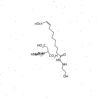 CCCCCCCC/C=C\CCCCCCCC(=O)NNCCO.O=C(O)CC(C(=O)O)S(=O)(=O)O.[NaH].[NaH]